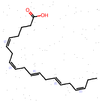 CC/C=C\C/C=C/C/C=C/C/C=C\C/C=C\CCCC(=O)O